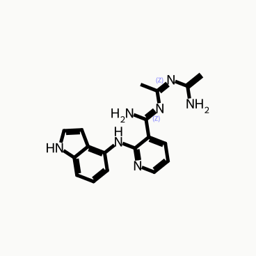 C=C(N)/N=C(C)\N=C(/N)c1cccnc1Nc1cccc2[nH]ccc12